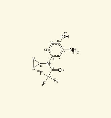 Nc1cc(N(C(=O)C(F)(F)F)C2CC2)ccc1O